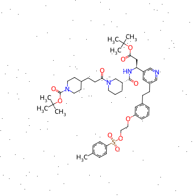 Cc1ccc(S(=O)(=O)OCCOc2cccc(CCc3cncc([C@H](CC(=O)OC(C)(C)C)NC(=O)[C@@H]4CCCN(C(=O)CCC5CCN(C(=O)OC(C)(C)C)CC5)C4)c3)c2)cc1